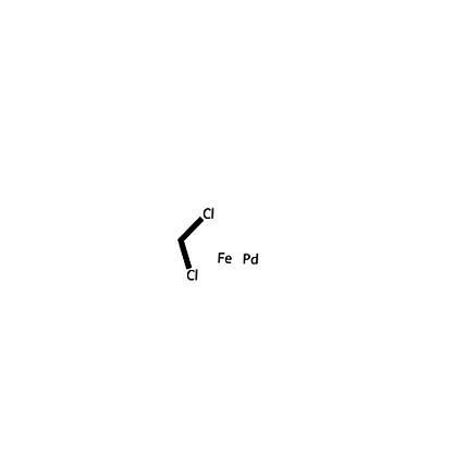 ClCCl.[Fe].[Pd]